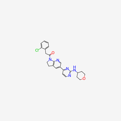 O=C(Cc1ccccc1Cl)N1CCc2cc(-c3ccnc(NC4CCOCC4)n3)cnc21